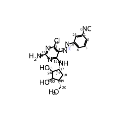 [C-]#[N+]c1cccc(/N=N/c2c(Cl)nc(N)nc2N[C@@H]2C[C@H](CO)[C@@H](O)[C@H]2O)c1